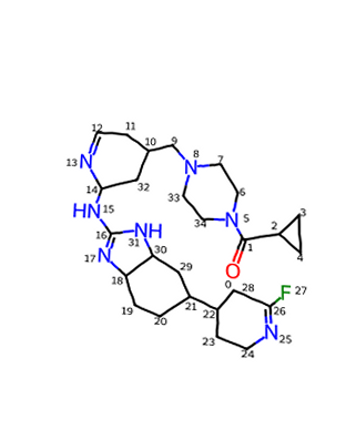 O=C(C1CC1)N1CCN(CC2CC=NC(NC3=NC4CCC(C5CCN=C(F)C5)CC4N3)C2)CC1